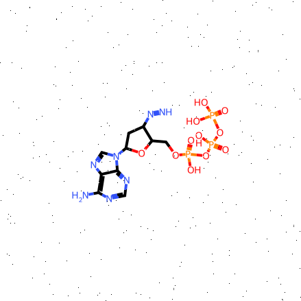 N=NC1CC(n2cnc3c(N)ncnc32)OC1COP(=O)(O)OP(=O)(O)OP(=O)(O)O